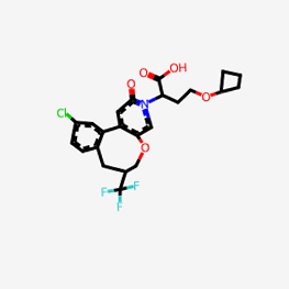 O=C(O)C(CCOC1CCC1)n1cc2c(cc1=O)-c1cc(Cl)ccc1CC(C(F)(F)F)CO2